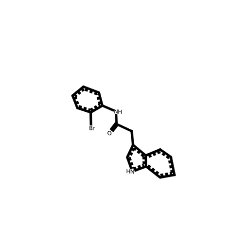 O=C(Cc1c[nH]c2ccccc12)Nc1ccccc1Br